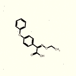 CCON=C(C(=O)O)c1ccc(Oc2ccccc2)cc1